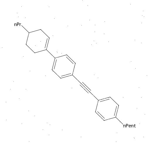 CCCCCc1ccc(C#Cc2ccc(C3=CCC(CCC)CC3)cc2)cc1